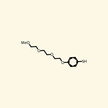 COCCOCCOCCOc1ccc(S)cc1